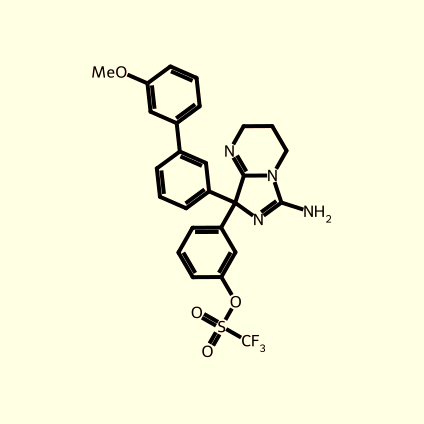 COc1cccc(-c2cccc(C3(c4cccc(OS(=O)(=O)C(F)(F)F)c4)N=C(N)N4CCCN=C43)c2)c1